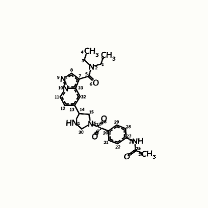 CCN(CC)C(=O)c1cnn2ccc(C3CN(S(=O)(=O)c4ccc(NC(C)=O)cc4)CN3)cc12